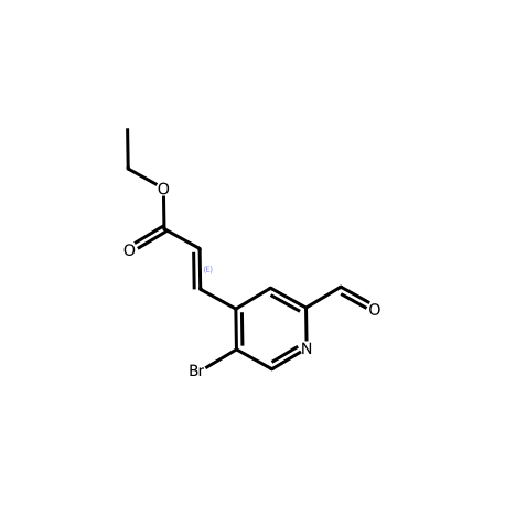 CCOC(=O)/C=C/c1cc(C=O)ncc1Br